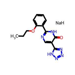 CCCOc1ccccc1-c1ncc(-c2nnn[nH]2)c(=O)[nH]1.[NaH]